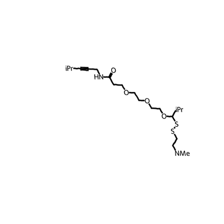 CNCCSSC(OCCOCCOCCC(=O)NCC#CC(C)C)C(C)C